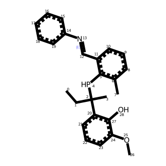 CCC(C)(Pc1c(C)cccc1/C=N/c1ccccc1)c1cccc(OC)c1O